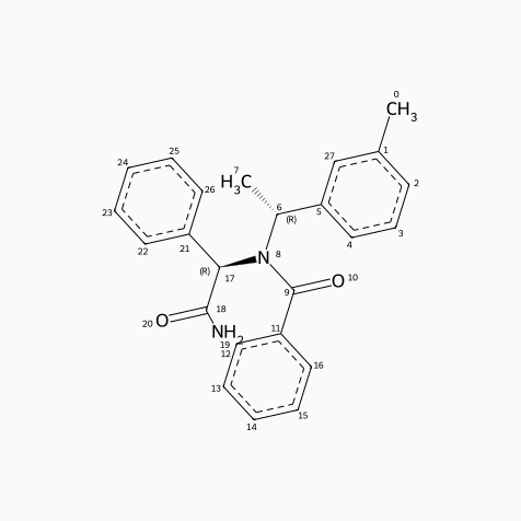 Cc1cccc([C@@H](C)N(C(=O)c2ccccc2)[C@@H](C(N)=O)c2ccccc2)c1